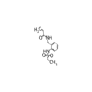 C=CC(=O)NCc1ccccc1NS(=O)(=O)CC